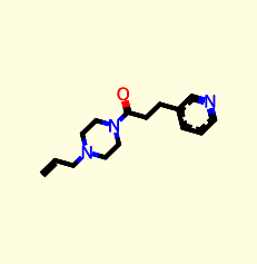 C=CCN1CCN(C(=O)CCc2cccnc2)CC1